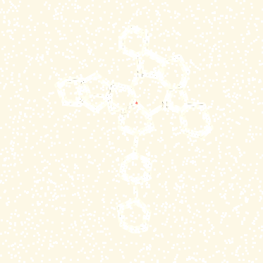 c1ccc(-c2ccc(-c3cc(-c4ccccc4)cc(-n4c5ccccc5c5ccc6c7ccccc7n(-c7cccc(-c8ccccc8)c7)c6c54)c3)cc2)cc1